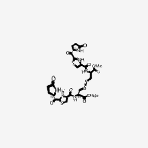 COC(=O)C(CSSC[C@H](NC(=O)C1CSC(C(=O)[C@@H]2CCC(=O)N2)N1)C(=O)OC)NC(=O)C1CSC(C(=O)[C@@H]2CCC(=O)N2)N1